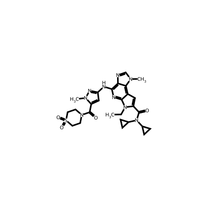 CCn1c(C(=O)N(C2CC2)C2CC2)cc2c3c(ncn3C)c(Nc3cc(C(=O)N4CCS(=O)(=O)CC4)n(C)n3)nc21